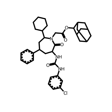 O=C(Nc1cccc(Cl)c1)NC1CC(c2ccccc2)CC(C2CCCCC2)N(CC(=O)OC2C3CC4CC(C3)CC2C4)C1=O